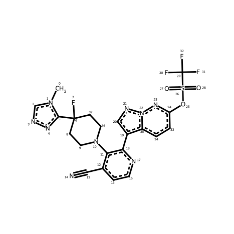 Cn1cnnc1C1(F)CCN(c2c(C#N)ccnc2-c2cnn3nc(OS(=O)(=O)C(F)(F)F)ccc23)CC1